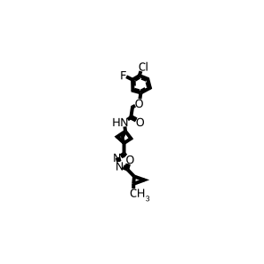 CC1CC1c1nnc(C23CC(NC(=O)COc4ccc(Cl)c(F)c4)(C2)C3)o1